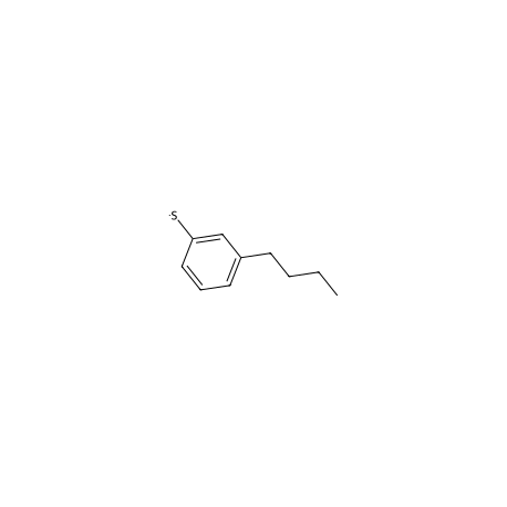 CCCCc1cccc([S])c1